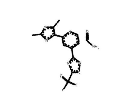 Cc1nc(-c2cc(-c3noc(C(F)(F)F)n3)ccn2)c(C)o1.NC=O